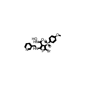 COc1ccc(S(=O)(=O)c2c(Br)sc(NCc3cccnc3)c2C(=O)NO)cc1